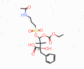 CCOC(=O)OC(OS(=O)(=O)CCCNC(C)=O)C(C)(C)[C@](O)(Cc1ccccc1)C(=O)O